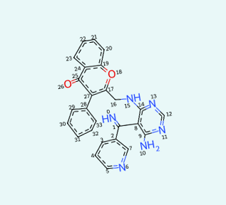 N=C(c1cccnc1)c1c(N)ncnc1NCc1oc2ccccc2c(=O)c1-c1ccccc1